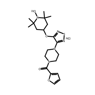 CC1(C)CC(Oc2nsnc2N2CCN(C(=O)c3ccco3)CC2)CC(C)(C)N1O.Cl